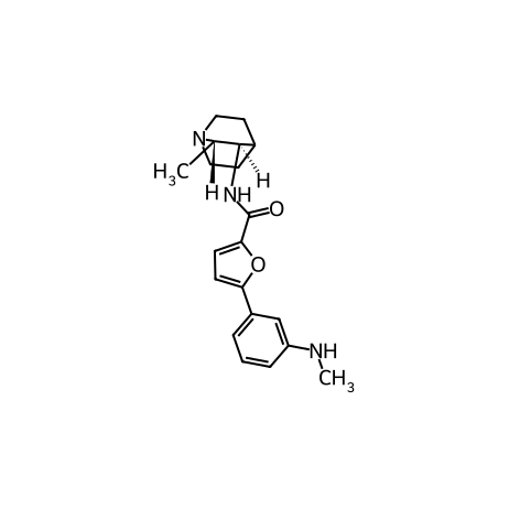 CNc1cccc(-c2ccc(C(=O)N[C@@H]3C4CCN(CC4)[C@H]3C)o2)c1